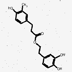 Cc1cc(CCC(=O)OCCc2ccc(O)c(O)c2)ccc1O